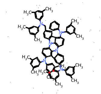 Cc1cc(C)cc(N(Cc2ccc3c(c2)c2c(N(c4ccccc4)c4cc(C)cc(C)c4)ccc4c2n3c2ccc(N(c3cc(C)cc(C)c3)c3cc(C)cc(C)c3)c3c5cc(N(c6cc(C)cc(C)c6)c6cc(C)cc(C)c6)ccc5n4c32)c2cc(C)cc(C)c2)c1